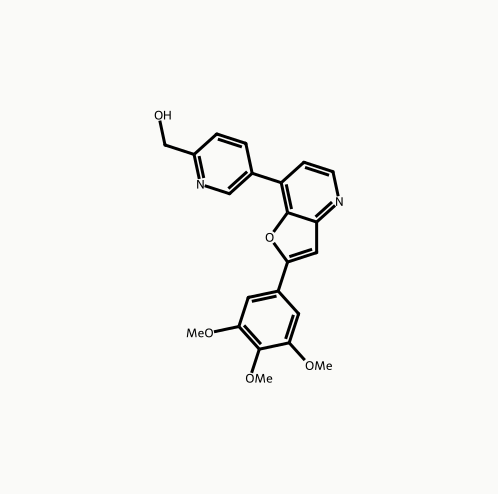 COc1cc(-c2cc3nccc(-c4ccc(CO)nc4)c3o2)cc(OC)c1OC